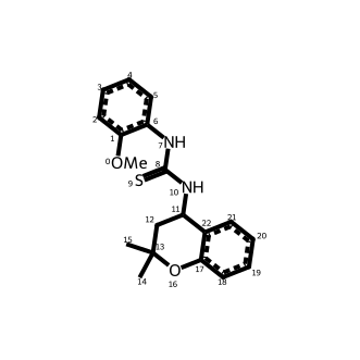 COc1ccccc1NC(=S)NC1CC(C)(C)Oc2ccccc21